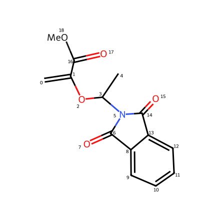 C=C(OC(C)N1C(=O)c2ccccc2C1=O)C(=O)OC